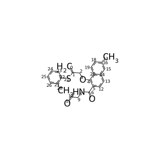 C=C(COc1c(C(=O)NCC=O)ccc2cc(C)ccc12)Sc1ccccc1C